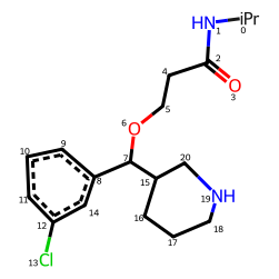 CC(C)NC(=O)CCOC(c1cccc(Cl)c1)C1CCCNC1